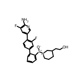 Nc1ncc(-c2ccc(-c3ccccc3[S+]([O-])N3CCCC(CCO)C3)cc2F)cc1F